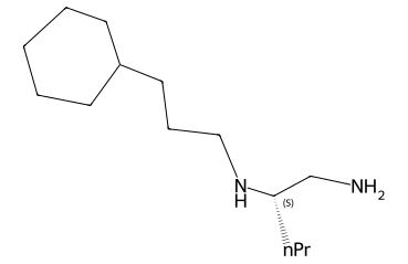 CCC[C@@H](CN)NCCCC1CCCCC1